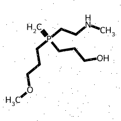 C=P(CCCO)(CCCOC)CCNC